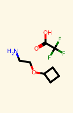 NCCOC1CCC1.O=C(O)C(F)(F)F